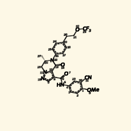 COc1ccc(NC(=O)c2cnn3c2C(=O)N(c2ccc(CCOC(F)(F)F)cc2)[C@@H](C)C3)cc1C#N